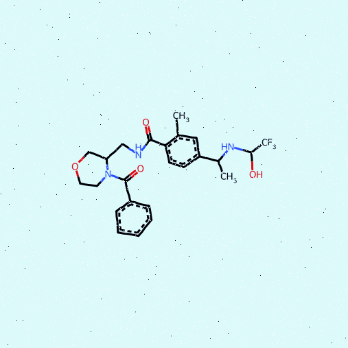 Cc1cc(C(C)NC(O)C(F)(F)F)ccc1C(=O)NCC1COCCN1C(=O)c1ccccc1